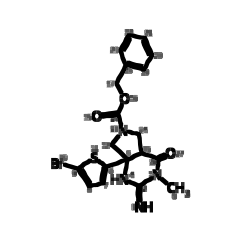 CN1C(=N)NC2(c3ccc(Br)s3)CN(C(=O)OCc3ccccc3)CC2C1=O